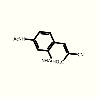 CC(=O)Nc1ccc(C=C(C#N)C(=O)O)c(NC(C)=O)c1